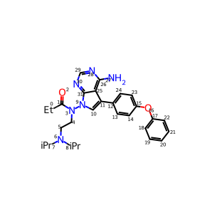 CCC(=O)N(CCN(C(C)C)C(C)C)n1cc(-c2ccc(Oc3ccccc3)cc2)c2c(N)ncnc21